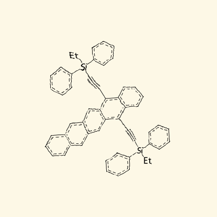 CC[Si](C#Cc1c2ccccc2c(C#C[Si](CC)(c2ccccc2)c2ccccc2)c2cc3cc4ccccc4cc3cc12)(c1ccccc1)c1ccccc1